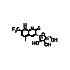 Cc1cc(C(F)(F)F)[nH]c2nc(=S)c([C@@H]3O[C@H](CO)C(O)[C@@H]3O)cc1-2